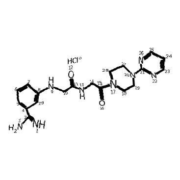 Cl.N=C(N)c1cccc(NCC(=O)NCC(=O)N2CCN(c3ncccn3)CC2)c1